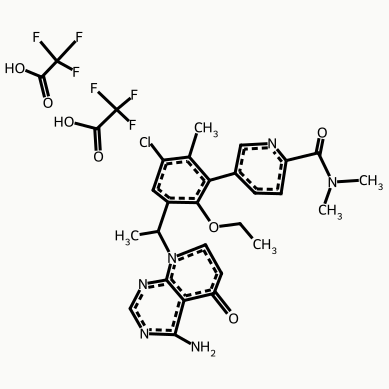 CCOc1c(C(C)n2ccc(=O)c3c(N)ncnc32)cc(Cl)c(C)c1-c1ccc(C(=O)N(C)C)nc1.O=C(O)C(F)(F)F.O=C(O)C(F)(F)F